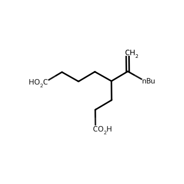 C=C(CCCC)C(CCCC(=O)O)CCC(=O)O